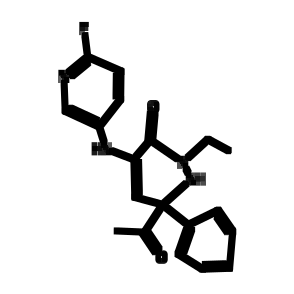 CCN1NC(C(C)=O)(c2ccccc2)C=C(Nc2ccc(F)nc2)C1=O